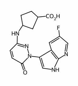 O=C(O)C1CCC(Nc2ccc(=O)n(-c3c[nH]c4ncc(F)cc34)n2)C1